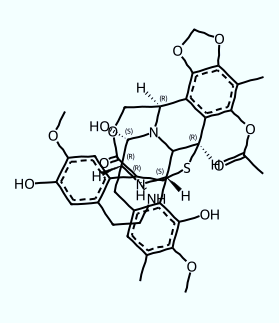 COc1cc2c(cc1O)CCN[C@]21CS[C@@H]2c3c(OC(C)=O)c(C)c4c(c3[C@H](COC1=O)N1C2[C@H]2N[C@H](Cc3cc(C)c(OC)c(O)c32)[C@@H]1O)OCO4